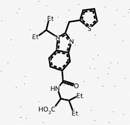 CCC(CC)C(NC(=O)c1ccc2c(c1)nc(Cc1cccs1)n2C(CC)CC)C(=O)O